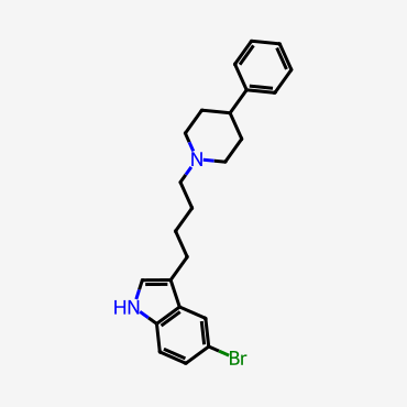 Brc1ccc2[nH]cc(CCCCN3CCC(c4ccccc4)CC3)c2c1